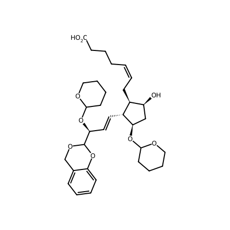 O=C(O)CCC/C=C\C[C@@H]1[C@@H](/C=C/[C@H](OC2CCCCO2)C2OCc3ccccc3O2)[C@H](OC2CCCCO2)C[C@@H]1O